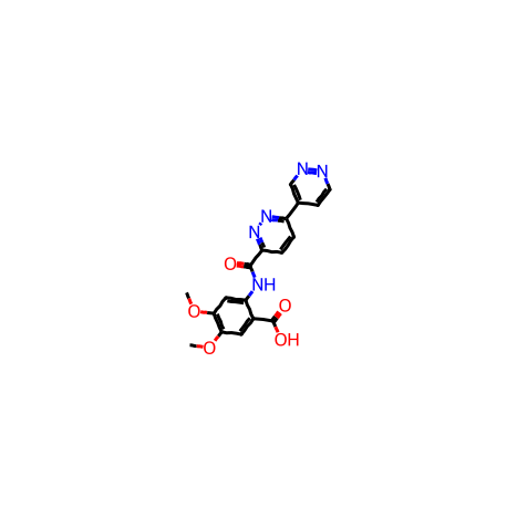 COc1cc(NC(=O)c2ccc(-c3ccnnc3)nn2)c(C(=O)O)cc1OC